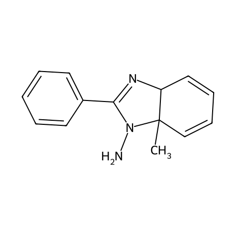 CC12C=CC=CC1N=C(c1ccccc1)N2N